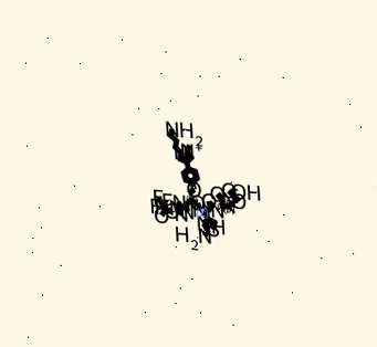 C[C@H]1[C@H](NC(=O)/C(=N\O[C@@H](COc2ccc(-c3cn(CCCN)[n+](C)c3)cc2)c2nn[nH]n2)c2csc(N)n2)C(=O)N1S(=O)(=O)O.O=C([O-])C(F)(F)F